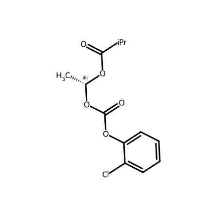 CC(C)C(=O)O[C@@H](C)OC(=O)Oc1ccccc1Cl